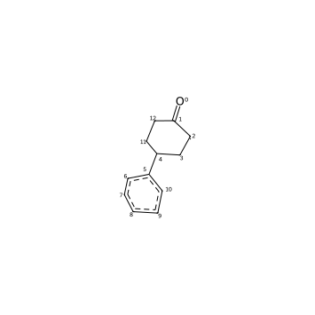 O=C1[CH]CC(c2ccccc2)CC1